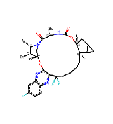 CC[C@@H]1[C@@H]2CN(C(=O)[C@H](C(C)(C)C)NC(=O)O[C@@H]3CC4CC4[C@H]3CCCCC(F)(F)c3nc4ccc(F)cc4nc3O2)[C@@H]1C(C)=O